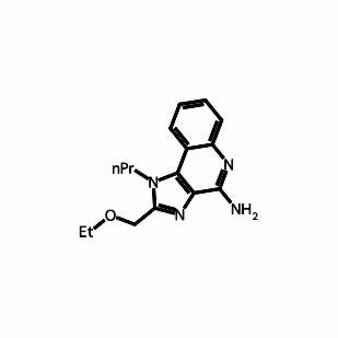 [CH2]CCn1c(COCC)nc2c(N)nc3ccccc3c21